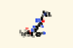 CN(C)CC=CC(=O)Nc1cncc(-c2cnc3c(c2)c(-c2cccc(C#N)c2)cn3COC(=O)C(C)(C)C)c1